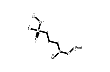 CCCCCON(CCCP(=O)(CC)OCC)C(C)=O